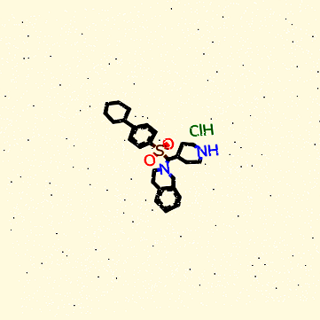 Cl.O=S(=O)(c1ccc(C2CCCCC2)cc1)C(C1CCNCC1)N1CCc2ccccc2C1